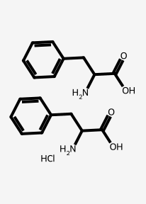 Cl.NC(Cc1ccccc1)C(=O)O.NC(Cc1ccccc1)C(=O)O